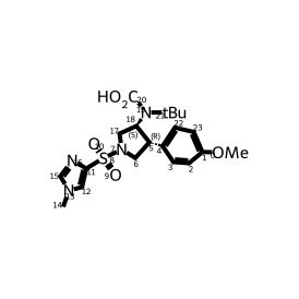 COc1ccc([C@@H]2CN(S(=O)(=O)c3cn(C)cn3)C[C@H]2N(C(=O)O)C(C)(C)C)cc1